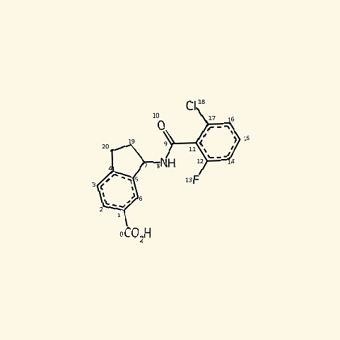 O=C(O)c1ccc2c(c1)C(NC(=O)c1c(F)cccc1Cl)CC2